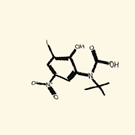 CC(C)(C)N(C(=O)O)c1cc([N+](=O)[O-])cc(I)c1O